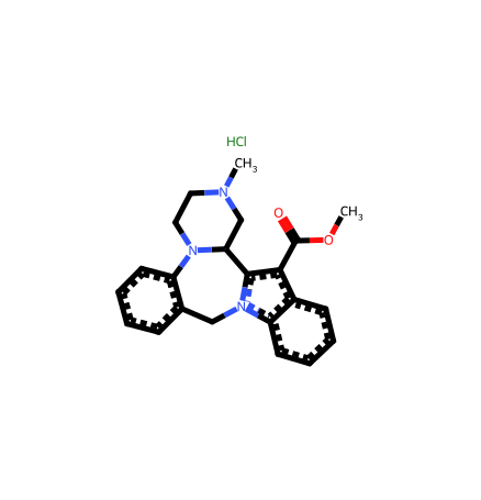 COC(=O)c1c2n(c3ccccc13)Cc1ccccc1N1CCN(C)CC21.Cl